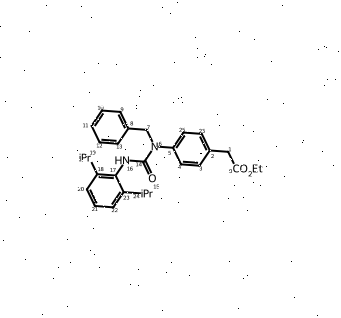 CCOC(=O)Cc1ccc(N(Cc2ccccc2)C(=O)Nc2c(C(C)C)cccc2C(C)C)cc1